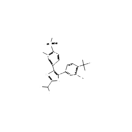 Cc1cc(-c2[nH]c(C(F)F)nc2-c2ccc(S(C)(=O)=O)c(F)c2)ccc1C(F)(F)F